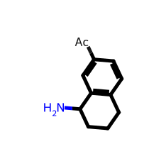 CC(=O)c1ccc2c(c1)C(N)CCC2